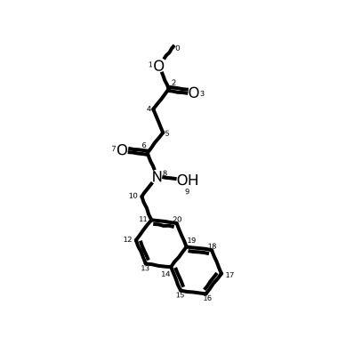 COC(=O)CCC(=O)N(O)Cc1ccc2ccccc2c1